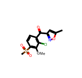 COc1c(S(C)(=O)=O)ccc(C(=O)c2cc(C)on2)c1Cl